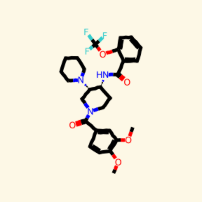 COc1ccc(C(=O)N2CC[C@@H](NC(=O)c3ccccc3OC(F)(F)F)[C@@H](N3CCCCC3)C2)cc1OC